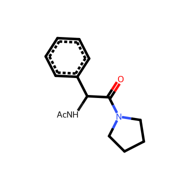 CC(=O)NC(C(=O)N1CCCC1)c1ccccc1